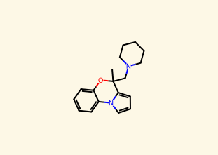 CC1(CN2CCCCC2)Oc2ccccc2-n2cccc21